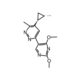 COc1ncc(-c2cc([C@H]3C[C@@H]3C)c(C)nn2)c(OC)n1